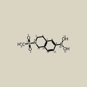 CS(=O)(=O)N1CCc2cc(B(O)O)ccc2C1